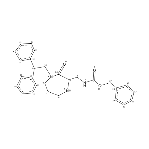 O=C(NCC1NCCCN(CC(c2ccccc2)c2ccccc2)C1=O)OCc1ccccc1